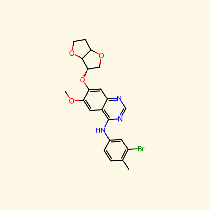 COc1cc2c(Nc3ccc(C)c(Br)c3)ncnc2cc1O[C@@H]1COC2CCOC21